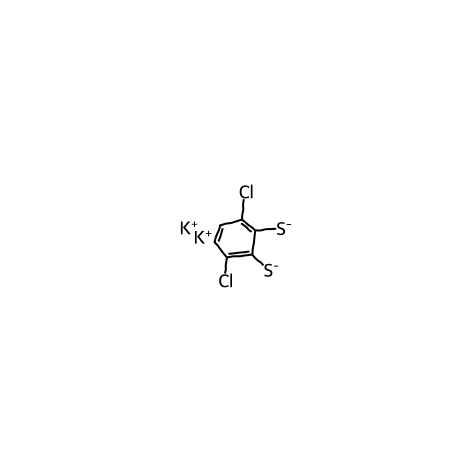 [K+].[K+].[S-]c1c(Cl)ccc(Cl)c1[S-]